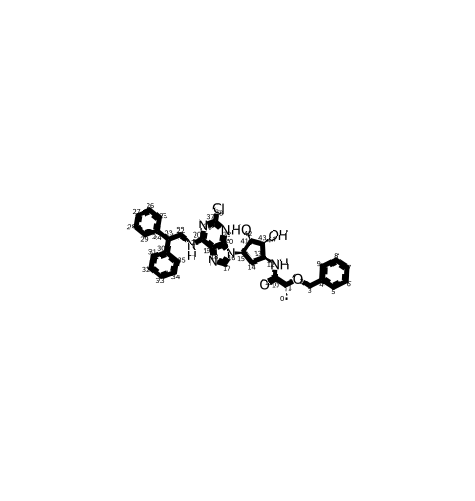 C[C@@H](OCc1ccccc1)C(=O)N[C@H]1C[C@@H](n2cnc3c(NCC(c4ccccc4)c4ccccc4)nc(Cl)nc32)[C@H](O)[C@@H]1O